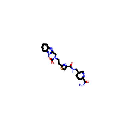 NC(=O)c1ccc(CNC(=O)c2csc(CCN(Cc3nc4ccccc4[nH]3)C(=O)O)n2)cn1